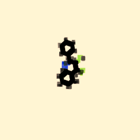 Fc1c(-c2ccccc2)nc2ccccc2c1F